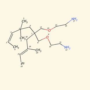 C/C=C\C(C)(C)CC(COCCN)(COCCN)C/C(C)=C/C(C)C